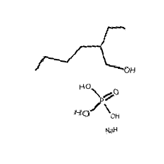 CCCCC(CC)CO.O=P(O)(O)O.[NaH]